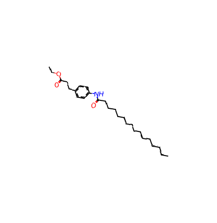 CCCCCCCCCCCCCCCC(=O)Nc1ccc(CCC(=O)OCC)cc1